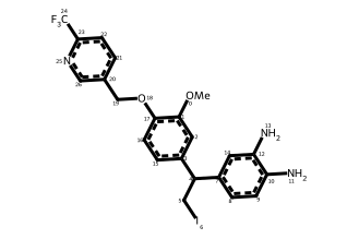 COc1cc(C(CI)c2ccc(N)c(N)c2)ccc1OCc1ccc(C(F)(F)F)nc1